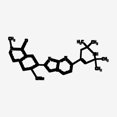 COc1cc2ccn(C)c(=O)c2cc1-c1cn2ccc(C3=CC(C)(C)NC(C)(C)C3)nc2n1